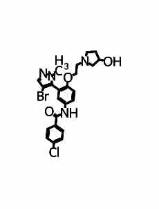 Cn1ncc(Br)c1-c1cc(NC(=O)c2ccc(Cl)cc2)ccc1OCCN1CCC(O)C1